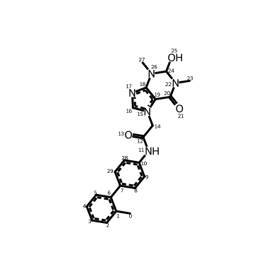 Cc1ccccc1-c1ccc(NC(=O)Cn2cnc3c2C(=O)N(C)C(O)N3C)cc1